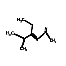 CC/C(=N\NC)C(C)C